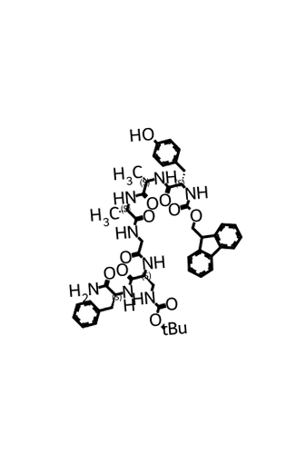 C[C@H](NC(=O)[C@H](C)NC(=O)[C@H](Cc1ccc(O)cc1)NC(=O)OCC1c2ccccc2-c2ccccc21)C(=O)NCC(=O)N[C@@H](CNC(=O)OC(C)(C)C)C(=O)N[C@@H](Cc1ccccc1)C(N)=O